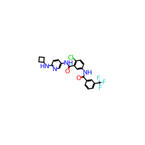 O=C(Nc1ccc(Cl)c(C(=O)Nc2ccc(NC3CCC3)nc2)c1)c1cccc(C(F)(F)F)c1